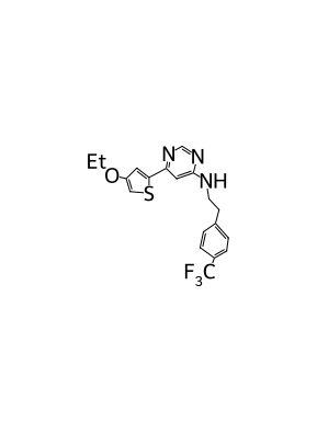 CCOc1csc(-c2cc(NCCc3ccc(C(F)(F)F)cc3)ncn2)c1